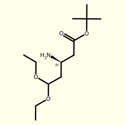 CCOC(C[C@@H](N)CC(=O)OC(C)(C)C)OCC